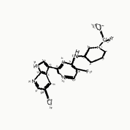 CC(C)[S+]([O-])N1CCCC(Nc2nc(-c3c[nH]c4ncc(Cl)cc34)ncc2F)C1